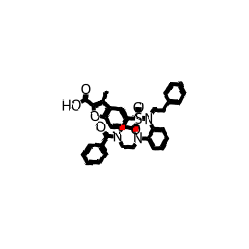 Cc1c(C(=O)O)oc2ccc(S(=O)(=O)N(CCc3ccccc3)c3ccccc3N3CCN(C(=O)c4ccccc4)CC3)cc12